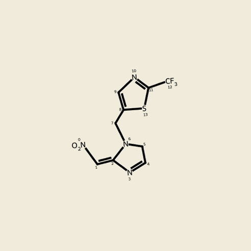 O=[N+]([O-])C=C1N=CCN1Cc1cnc(C(F)(F)F)s1